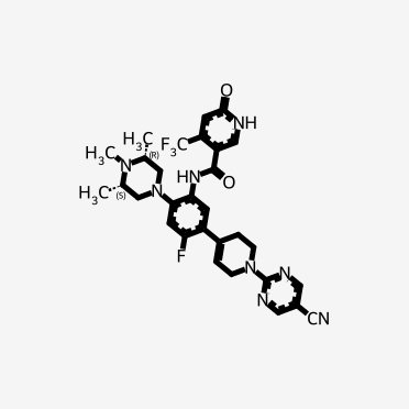 C[C@@H]1CN(c2cc(F)c(C3=CCN(c4ncc(C#N)cn4)CC3)cc2NC(=O)c2c[nH]c(=O)cc2C(F)(F)F)C[C@H](C)N1C